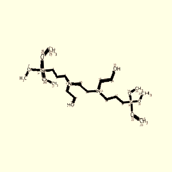 CO[Si](CCCN(CCO)CCN(CCO)CCC[Si](OC)(OC)OC)(OC)OC